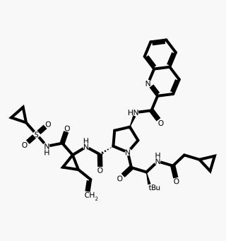 C=CC1CC1(NC(=O)[C@@H]1C[C@@H](NC(=O)c2ccc3ccccc3n2)CN1C(=O)[C@@H](NC(=O)CC1CC1)C(C)(C)C)C(=O)NS(=O)(=O)C1CC1